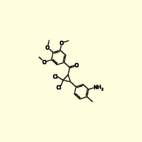 COc1cc(C(=O)C2C(c3ccc(C)c(N)c3)C2(Cl)Cl)cc(OC)c1OC